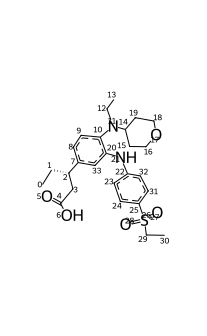 CC[C@@H](CC(=O)O)c1ccc(N(CC)C2CCOCC2)c(Nc2ccc(S(=O)(=O)CC)cc2)c1